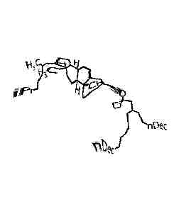 CCCCCCCCCCCCCCC(CCCCCCCCCCCC)CC(=O)OC1CC[C@@]2(C)C(=CC[C@H]3[C@@H]4CC[C@H]([C@H](C)CCCC(C)C)[C@@]4(C)CC[C@@H]32)C1